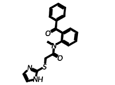 CN(C(=O)CSc1ncc[nH]1)c1ccccc1C(=O)c1ccccc1